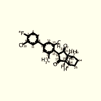 Cc1cc(-c2ccc(F)c(Cl)c2)cc(C)c1C1C(=O)[C@@H]2[C@H](C1=O)[C@H]1CC[C@@H]2O1